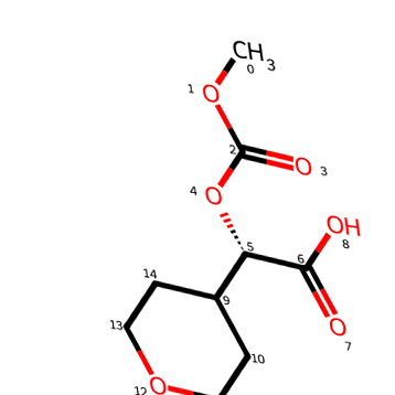 COC(=O)O[C@H](C(=O)O)C1CCOCC1